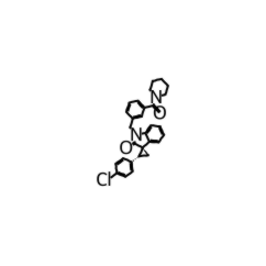 O=C(c1cccc(CN2C(=O)[C@]3(C[C@@H]3c3ccc(Cl)cc3)c3ccccc32)c1)N1CCCCC1